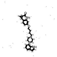 O=C1Nc2cc(OCCCCN3CCN(c4cccc5cc[nH]c45)CC3)ccc2C2CC12